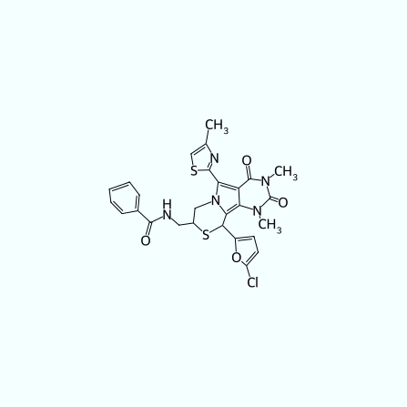 Cc1csc(-c2c3c(=O)n(C)c(=O)n(C)c3c3n2CC(CNC(=O)c2ccccc2)SC3c2ccc(Cl)o2)n1